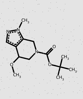 COC1CN(C(=O)OC(C)(C)C)Cc2c1cnn2C